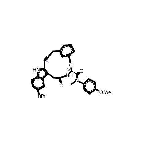 CCCc1ccc2[nH]c3c(c2c1)CC(=O)N[C@H](C(=O)N(C)c1ccc(OC)cc1)Cc1cccc(c1)C/C=C\3